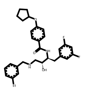 CCc1cccc(CNC[C@@H](O)[C@H](Cc2cc(F)cc(F)c2)NC(=O)c2ccc(OC3CCCC3)cc2)c1